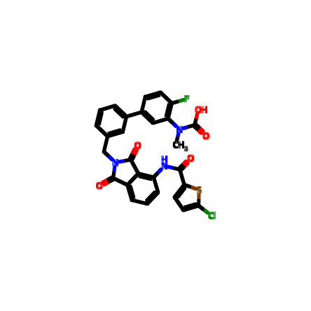 CN(C(=O)O)c1cc(-c2cccc(CN3C(=O)c4cccc(NC(=O)c5ccc(Cl)s5)c4C3=O)c2)ccc1F